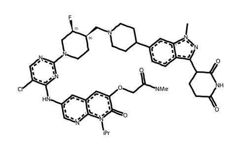 CNC(=O)COc1cc2cc(Nc3nc(N4CC[C@H](CN5CCC(c6ccc7c(C8CCC(=O)NC8=O)nn(C)c7c6)CC5)[C@H](F)C4)ncc3Cl)cnc2n(C(C)C)c1=O